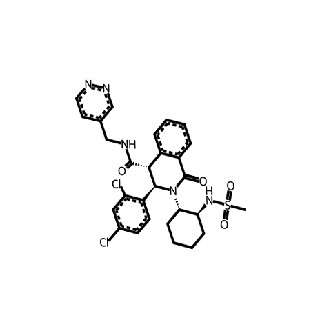 CS(=O)(=O)N[C@H]1CCCC[C@@H]1N1C(=O)c2ccccc2[C@@H](C(=O)NCc2ccnnc2)[C@@H]1c1ccc(Cl)cc1Cl